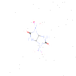 O=C1NC2C(NC(=O)N2[N+](=O)[O-])N1[N+](=O)[O-]